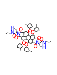 CCCNC(=O)C(CC)N1C(=O)c2cc(Oc3cccc(C)c3)c3c4c(Oc5cccc(C)c5)cc5c6c(cc(Oc7cccc(C)c7)c(c7c(Oc8cccc(C)c8)cc(c2c37)C1=O)c64)C(=O)N(C(CC)C(=O)NCCC)C5=O